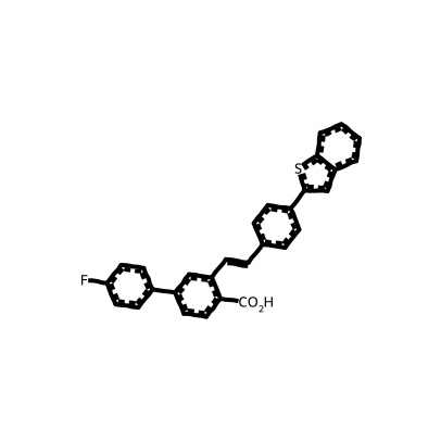 O=C(O)c1ccc(-c2ccc(F)cc2)cc1C=Cc1ccc(-c2cc3ccccc3s2)cc1